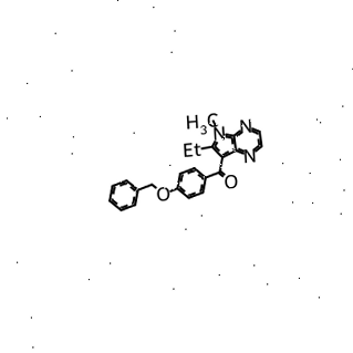 CCc1c(C(=O)c2ccc(OCc3ccccc3)cc2)c2nccnc2n1C